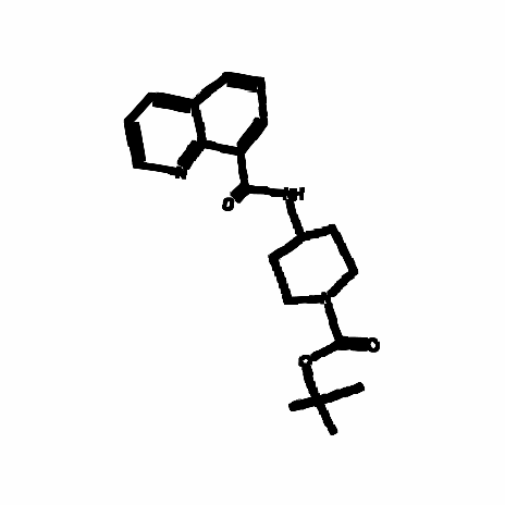 CC(C)(C)OC(=O)N1CCC(NC(=O)c2cccc3cccnc23)CC1